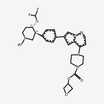 CC(C)N1CC[C@H](OC(F)F)[C@@H](c2ccc(-c3cc4c(N5CCN(C(=O)OC6COC6)CC5)ccnn4c3)cc2)C1